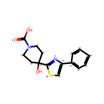 O=C(O)N1CCC(O)(c2nc(-c3ccccc3)cs2)CC1